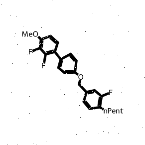 CCCCCc1ccc(COc2ccc(-c3ccc(OC)c(F)c3F)cc2)cc1F